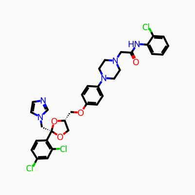 O=C(CN1CCN(c2ccc(OC[C@@H]3CO[C@@](Cn4ccnc4)(c4ccc(Cl)cc4Cl)O3)cc2)CC1)Nc1ccccc1Cl